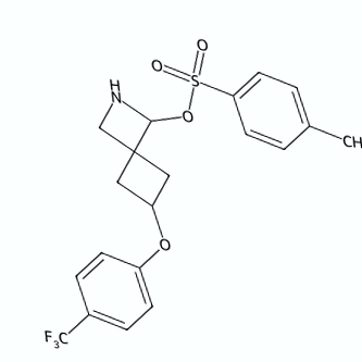 Cc1ccc(S(=O)(=O)OC2NCC23CC(Oc2ccc(C(F)(F)F)cc2)C3)cc1